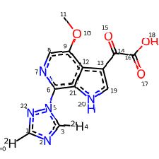 [2H]c1nc([2H])n(-c2ncc(OC)c3c(C(=O)C(=O)O)c[nH]c23)n1